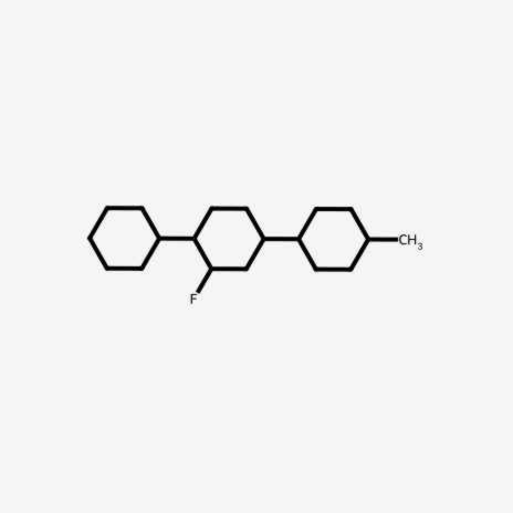 CC1CCC(C2CCC(C3CCCCC3)C(F)C2)CC1